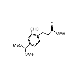 COC(=O)CCc1ccc(C(OC)OC)cc1C=O